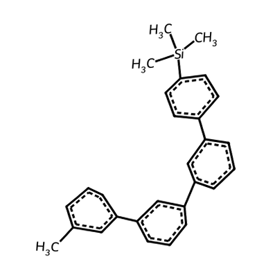 Cc1cccc(-c2cccc(-c3cccc(-c4ccc([Si](C)(C)C)cc4)c3)c2)c1